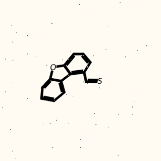 S=[C]c1cccc2oc3ccccc3c12